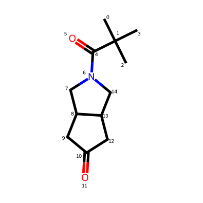 CC(C)(C)C(=O)N1CC2CC(=O)CC2C1